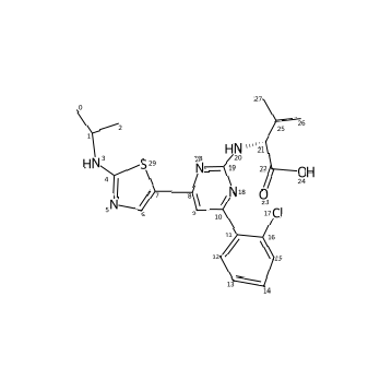 CC(C)Nc1ncc(-c2cc(-c3ccccc3Cl)nc(N[C@@H](C(=O)O)C(C)C)n2)s1